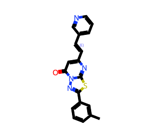 Cc1cccc(-c2nn3c(=O)cc(/C=C/c4cccnc4)nc3s2)c1